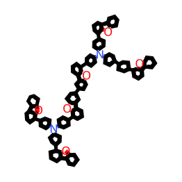 C1=Cc2oc3c(-c4ccc(N(c5ccc(-c6cccc7c6oc6ccccc67)cc5)c5ccc(-c6cccc7c6oc6ccc(-c8ccc9oc%10c(-c%11ccc(N(c%12ccc(-c%13ccc(-c%14cccc%15c%14oc%14ccccc%14%15)cc%13)cc%12)c%12ccc(-c%13cccc%14c%13oc%13ccccc%13%14)cc%12)cc%11)cccc%10c9c8)cc67)cc5)cc4)cccc3c2CC1